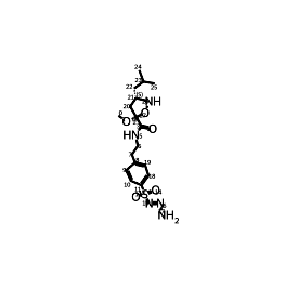 CO[C@]1(C(=O)NCCc2ccc(S(=O)(=O)N=NN)cc2)C[C@H](CC(C)C)NO1